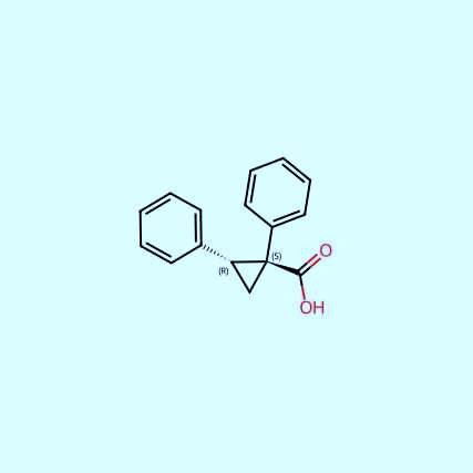 O=C(O)[C@@]1(c2ccccc2)C[C@@H]1c1ccccc1